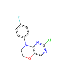 Fc1ccc(N2CCOc3cnc(Cl)nc32)cc1